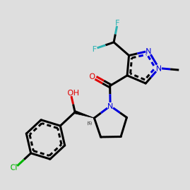 Cn1cc(C(=O)N2CCC[C@H]2C(O)c2ccc(Cl)cc2)c(C(F)F)n1